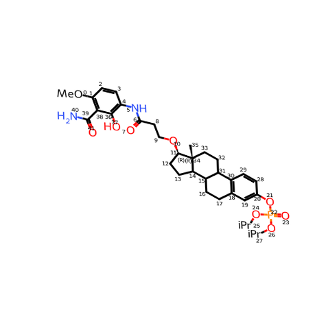 COc1ccc(NC(=O)CCO[C@@H]2CCC3C4CCc5cc(OP(=O)(OC(C)C)OC(C)C)ccc5C4CC[C@]32C)c(O)c1C(N)=O